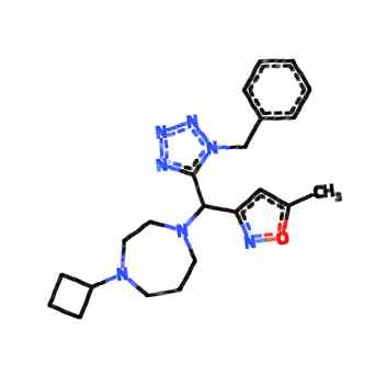 Cc1cc(C(c2nnnn2Cc2ccccc2)N2CCCN(C3CCC3)CC2)no1